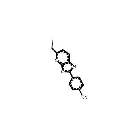 N#Cc1ccc(-c2nc3ccc(CI)nc3o2)cc1